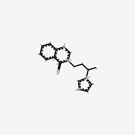 CC(CCn1cnc2ccccc2c1=O)n1ccnc1